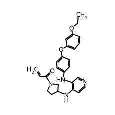 C=CC(=O)N1CCC(Nc2ccncc2Nc2ccc(Oc3cccc(OCC)c3)cc2)C1